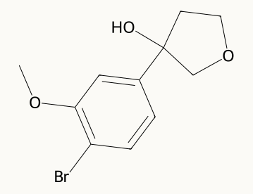 COc1cc(C2(O)CCOC2)ccc1Br